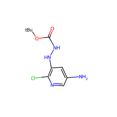 CC(C)(C)OC(=O)NNc1cc(N)cnc1Cl